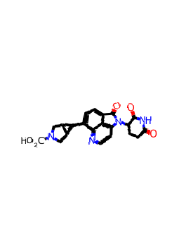 O=C1CCC(N2C(=O)c3ccc(C4C5CN(C(=O)O)CC54)c4nccc2c34)C(=O)N1